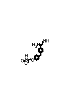 N=C/C=C(\N)c1ccc(Cc2ccc(OC[C@H]3COC(=O)N3)cc2)cc1